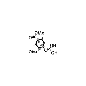 COC(=O)[C@@H]1CC[C@@H](ON(O)O)[C@H](OC)C1